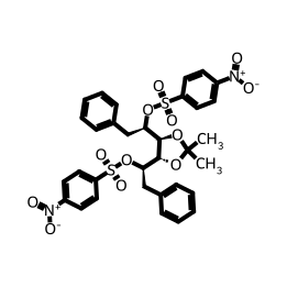 CC1(C)O[C@H]([C@@H](Cc2ccccc2)OS(=O)(=O)c2ccc([N+](=O)[O-])cc2)[C@@H]([C@@H](Cc2ccccc2)OS(=O)(=O)c2ccc([N+](=O)[O-])cc2)O1